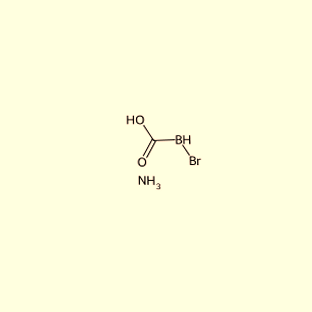 N.O=C(O)BBr